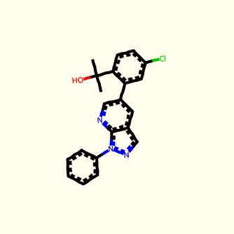 CC(C)(O)c1ccc(Cl)cc1-c1cnc2c(cnn2-c2ccccc2)c1